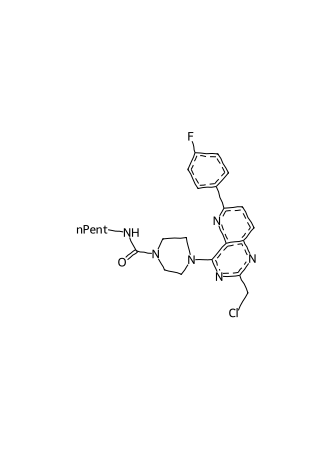 CCCCCNC(=O)N1CCN(c2nc(CCl)nc3ccc(-c4ccc(F)cc4)nc23)CC1